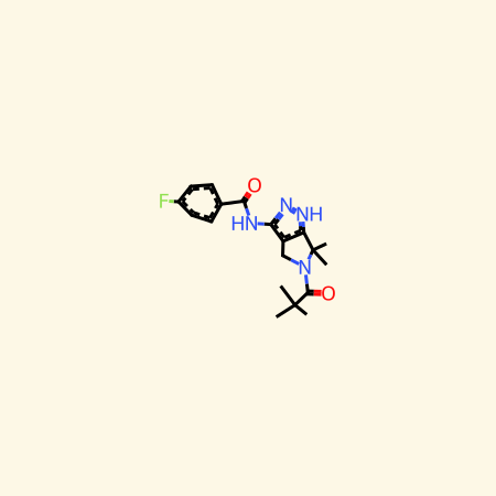 CC(C)(C)C(=O)N1Cc2c(NC(=O)c3ccc(F)cc3)n[nH]c2C1(C)C